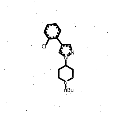 CCCCN1CCC(n2cc(-c3ccccc3Cl)cn2)CC1